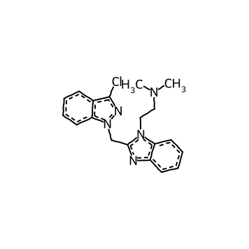 CN(C)CCn1c(Cn2nc(Cl)c3ccccc32)nc2ccccc21